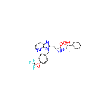 C[C@H](NC(=O)CCc1nc2cccnc2n1Cc1ccc(OC(F)(F)F)cc1)[C@H](O)c1ccccc1